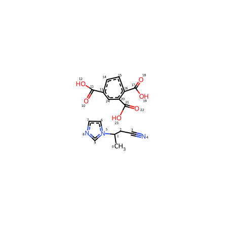 CC(CC#N)n1ccnc1.O=C(O)c1ccc(C(=O)O)c(C(=O)O)c1